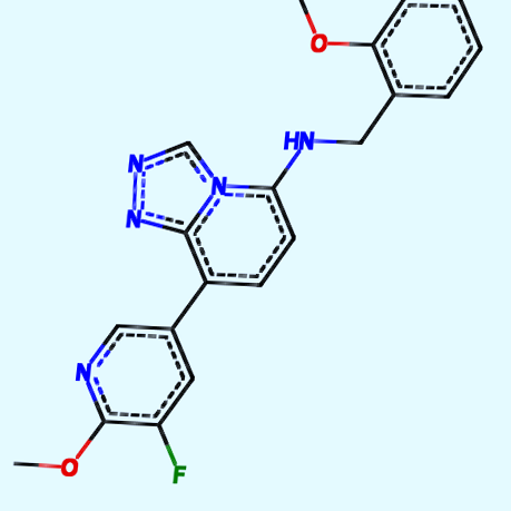 COc1ccccc1CNc1ccc(-c2cnc(OC)c(F)c2)c2nncn12